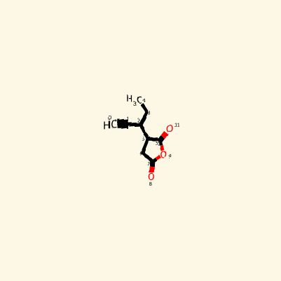 C#CC(CC)C1CC(=O)OC1=O